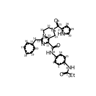 CCC(=O)Nc1ccc(NC(=O)c2nc(Cc3ccccc3)n3c2CN(C(=O)c2ccc[nH]2)CC3)cc1